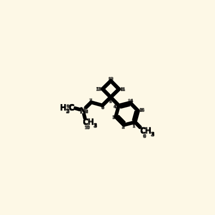 Cc1ccc(C2(CCN(C)C)CCC2)cc1